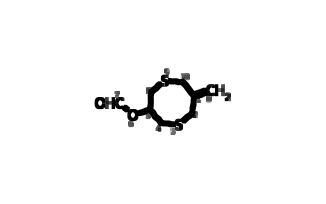 C=C1CSCC(OC=O)CSC1